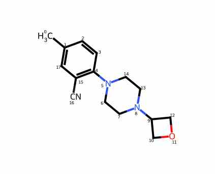 Cc1ccc(N2CCN(C3COC3)CC2)c(C#N)c1